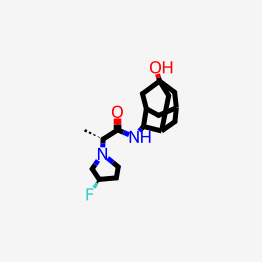 C[C@H](C(=O)NC1C2CC3CC1CC(O)(C3)C2)N1CC[C@@H](F)C1